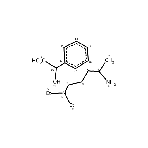 CCN(CC)CCCC(C)N.O=C(O)C(O)c1ccccc1